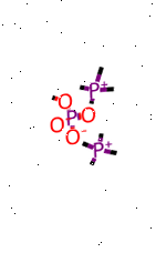 COP(=O)([O-])[O-].C[P+](C)(C)C.C[P+](C)(C)C